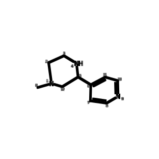 CN1CCNC(c2ccncc2)C1